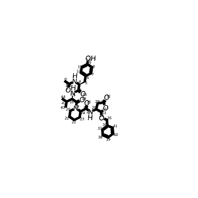 CC(=O)N[C@@H](Cc1ccc(O)cc1)C(=O)N[C@H](C(=O)N1CCCCC1C(=O)NC1CC(=O)OC1OCc1ccccc1)C(C)C